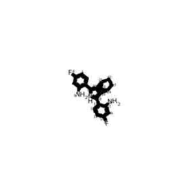 Nc1cc(F)ccc1-c1[nH]c(-c2ccc(F)cc2N)c2c1C1CCC2C1